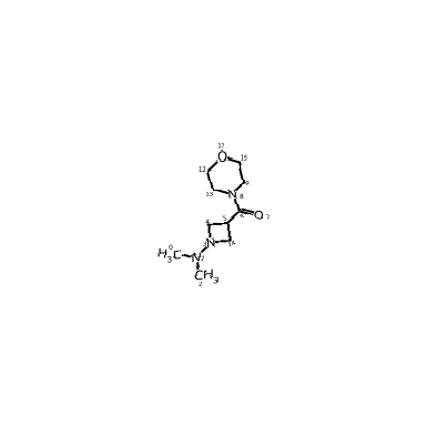 CN(C)N1CC(C(=O)N2CCOCC2)C1